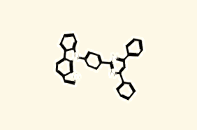 C1=C(c2nc(-c3ccccc3)cc(-c3ccccc3)n2)CCC(n2c3ccccc3c3ccc4ccoc4c32)=C1